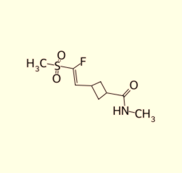 CNC(=O)C1CC(/C=C(\F)S(C)(=O)=O)C1